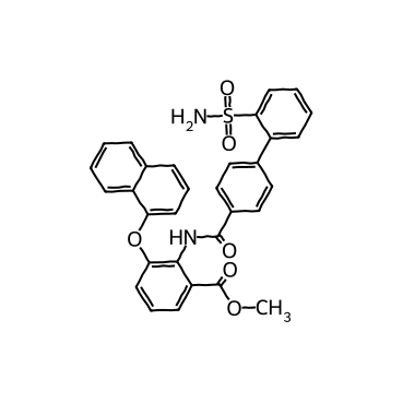 COC(=O)c1cccc(Oc2cccc3ccccc23)c1NC(=O)c1ccc(-c2ccccc2S(N)(=O)=O)cc1